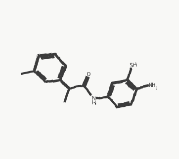 Cc1cccc(C(C)C(=O)Nc2ccc(N)c(S)c2)c1